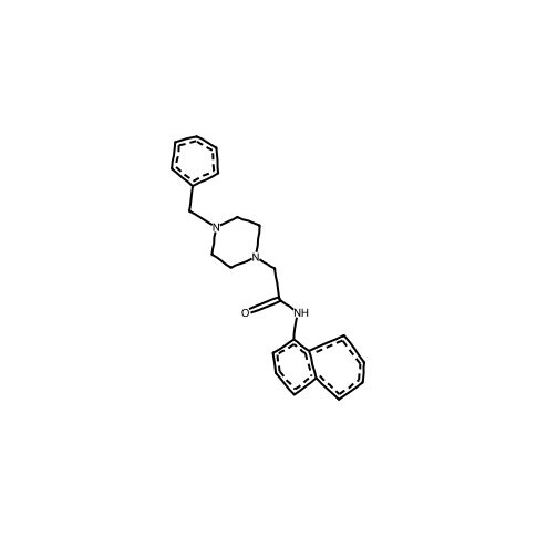 O=C(CN1CCN(Cc2ccccc2)CC1)Nc1cccc2ccccc12